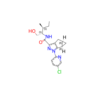 CC[C@H](C)[C@@H](CO)NC(=O)c1nn(-c2ccc(Cl)cn2)c2c1C[C@H]1C[C@@H]21